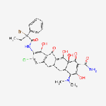 CCC(Br)(C(=O)Nc1c(Cl)cc2c(c1O)C(=O)C1=C(O)[C@]3(O)C(=O)C(C(N)=O)=C(O)[C@@H](N(C)C)C3CC1C2)c1ccccc1